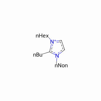 CCCCCCCCCn1cc[n+](CCCCCC)c1CCCC